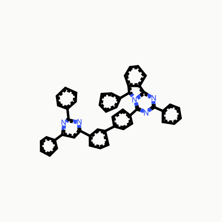 c1ccc(-c2cc(-c3cccc(-c4ccc(-c5nc(-c6ccccc6)nc6c7ccccc7c(-c7ccccc7)n56)cc4)c3)nc(-c3ccccc3)n2)cc1